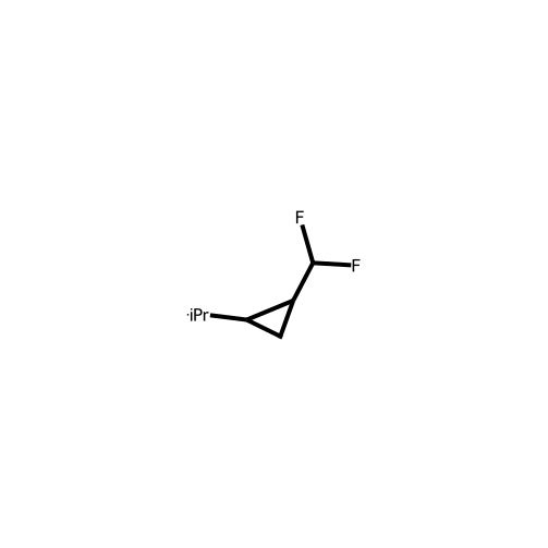 C[C](C)C1CC1C(F)F